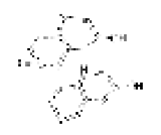 Oc1cnc2ccccc2c1.Oc1cnc2ccccc2c1.[Cu]